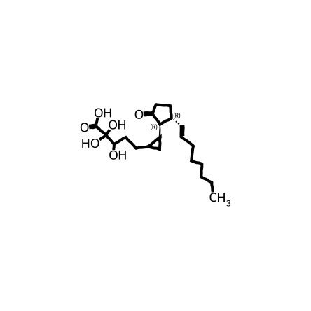 CCCCCCC=C[C@H]1CCC(=O)[C@@H]1C1CC1CCC(O)C(O)(O)C(=O)O